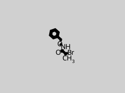 CC(Br)C(=O)NOCc1ccccc1